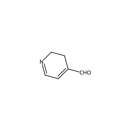 O=CC1=CC=NCC1